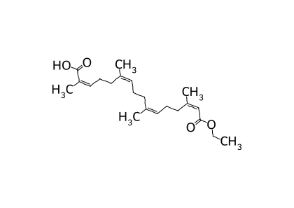 CCOC(=O)C=C(C)CCC=C(C)CCC=C(C)CCC=C(C)C(=O)O